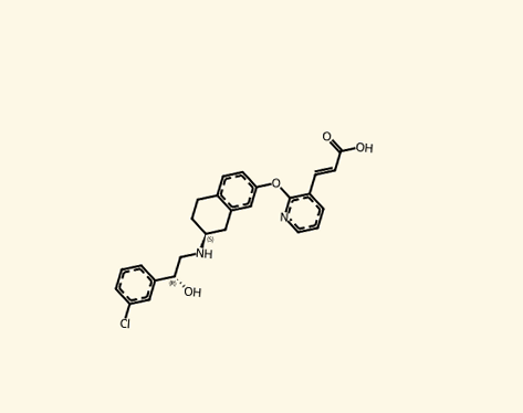 O=C(O)C=Cc1cccnc1Oc1ccc2c(c1)C[C@@H](NC[C@H](O)c1cccc(Cl)c1)CC2